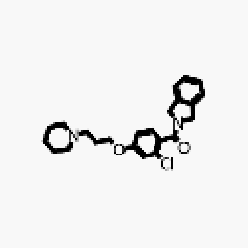 O=C(c1ccc(OCCCN2CCCCC2)cc1Cl)N1Cc2ccccc2C1